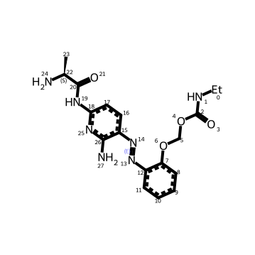 CCNC(=O)OCOc1ccccc1/N=N/c1ccc(NC(=O)[C@H](C)N)nc1N